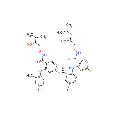 Cc1cc(I)ccc1Nc1cc(F)ccc1C(=O)NOCC(O)C(C)C.Cc1cc(I)ccc1Nc1cc(F)ccc1C(=O)NOCC(O)CC(C)C